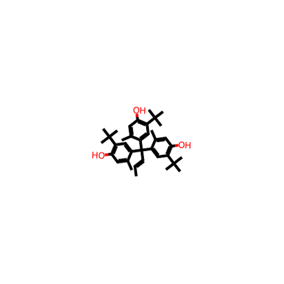 CC=CC(c1cc(C(C)(C)C)c(O)cc1C)(c1cc(C(C)(C)C)c(O)cc1C)c1cc(C(C)(C)C)c(O)cc1C